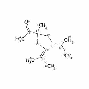 CC(=O)C(C)(CC=C(C)C)CC=C(C)C